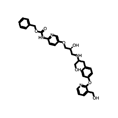 O=C(Nc1ccc(OC[C@@H](O)CNC(CO)Cc2ccc(Oc3ncccc3CO)cc2)cn1)OCc1ccccc1